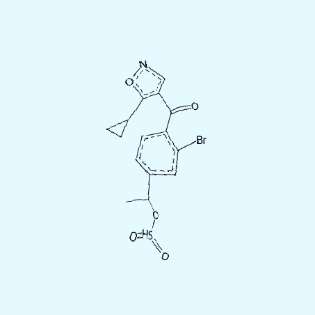 CC(O[SH](=O)=O)c1ccc(C(=O)c2cnoc2C2CC2)c(Br)c1